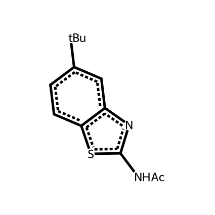 CC(=O)Nc1nc2cc(C(C)(C)C)ccc2s1